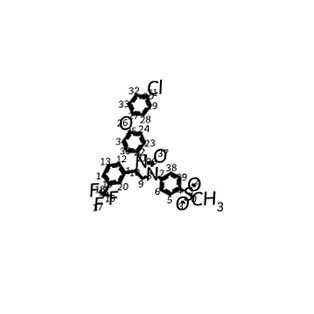 CS(=O)(=O)c1ccc(N2CC(c3cccc(C(F)(F)F)c3)N(c3ccc(Oc4ccc(Cl)cc4)cc3)C2=O)cc1